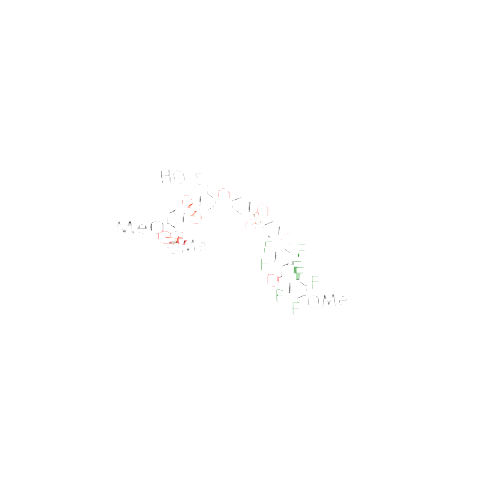 COc1ccc(S(=O)(=O)c2ccc(Oc3ccc(S(=O)(=O)c4ccc(Oc5c(F)c(F)c(C(=O)c6c(F)c(F)c(OC)c(F)c6F)c(F)c5F)cc4)cc3)c(CS(=O)(=O)O)c2)cc1S(=O)(=O)OC